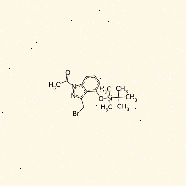 CC(=O)n1nc(CBr)c2c(O[Si](C)(C)C(C)(C)C)cccc21